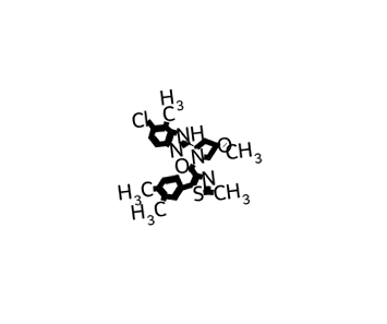 CO[C@@H]1C[C@@H](c2nc3ccc(Cl)c(C)c3[nH]2)N(C(=O)c2nc(C)sc2-c2ccc(C)c(C)c2)C1